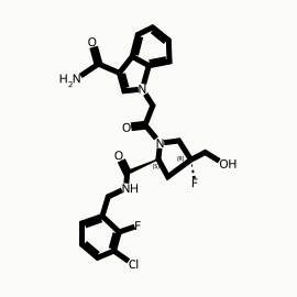 NC(=O)c1cn(CC(=O)N2C[C@@](F)(CO)C[C@H]2C(=O)NCc2cccc(Cl)c2F)c2ccccc12